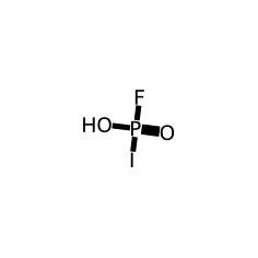 O=P(O)(F)I